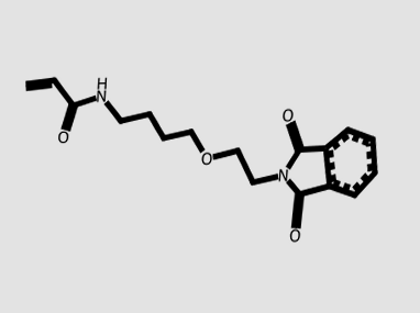 C=CC(=O)NCCCCOCCN1C(=O)c2ccccc2C1=O